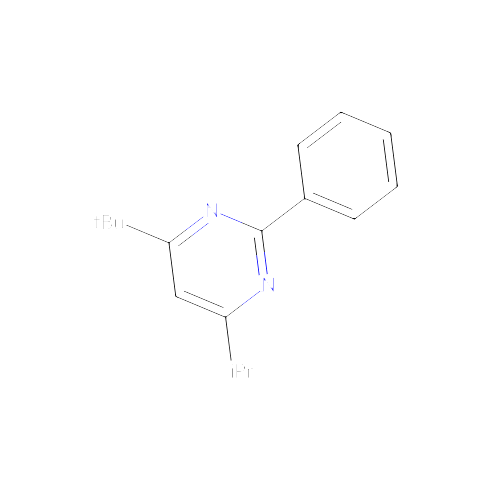 CC(C)c1cc(C(C)(C)C)nc(-c2ccccc2)n1